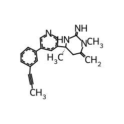 C=C1C[C@@](C)(c2cncc(-c3cccc(C#CC)c3)c2)NC(=N)N1C